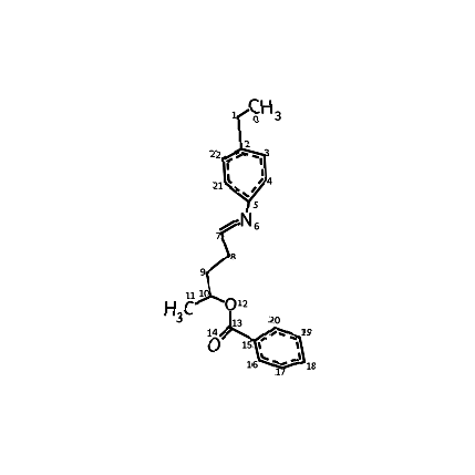 CCc1ccc(N=CCCC(C)OC(=O)c2ccccc2)cc1